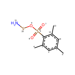 Cc1cc(C)c(S(=O)(=O)OSN)c(C)c1